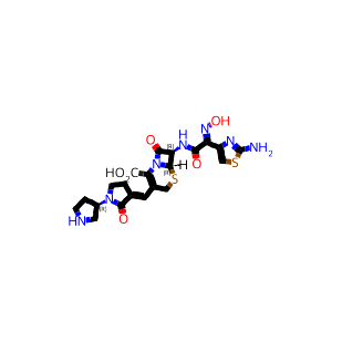 Nc1nc(C(=NO)C(=O)N[C@@H]2C(=O)N3C(C(=O)O)=C(C=C4CCN([C@@H]5CCNC5)C4=O)CS[C@H]23)cs1